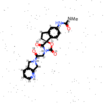 CNC(=O)Nc1ccc2c(c1)CC[C@]21OC(=O)N(CC(=O)N2Cc3cccnc3C2)C1=O